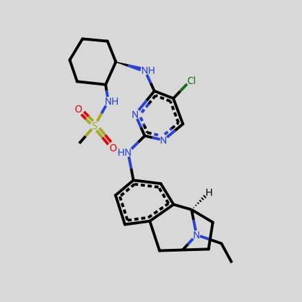 CCN1C2CC[C@@H]1c1cc(Nc3ncc(Cl)c(N[C@@H]4CCCCC4NS(C)(=O)=O)n3)ccc1C2